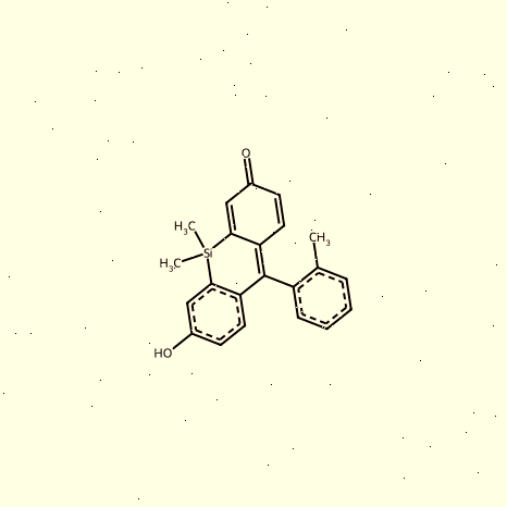 Cc1ccccc1C1=C2C=CC(=O)C=C2[Si](C)(C)c2cc(O)ccc21